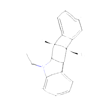 CCN1c2ccccc2C2C1[C@@H]1c3ccccc3[C@H]21